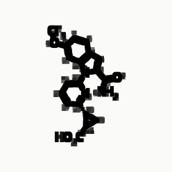 NC(=O)c1cc2ccc(OC(F)(F)F)cc2n1-c1cccc([C@@H]2C[C@H]2C(=O)O)n1